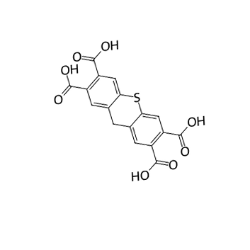 O=C(O)c1cc2c(cc1C(=O)O)Sc1cc(C(=O)O)c(C(=O)O)cc1C2